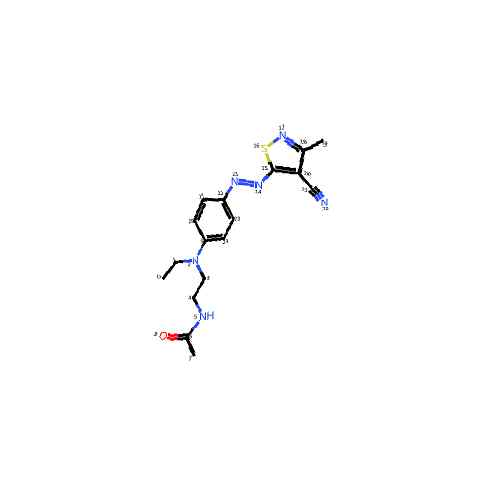 CCN(CCNC(C)=O)c1ccc(N=Nc2snc(C)c2C#N)cc1